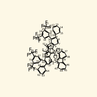 CC(C)C1=Cc2c(ccc(-c3ccccc3)c2-c2cc(C(F)(F)F)cc(C(F)(F)F)c2)[CH]1[Zr]([Cl])([Cl])([c]1cccc2c1[SiH2]c1ccccc1-2)[CH]1C(C(C)C)=Cc2c1ccc(-c1ccccc1)c2-c1cc(C(F)(F)F)cc(C(F)(F)F)c1